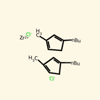 CCCCC1=CC(C)=CC1.CCCCC1=CC(C)=CC1.[Cl-].[Cl-].[Zr+2]